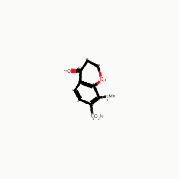 CSc1c(C(=O)O)ccc2c1OCCC2=O